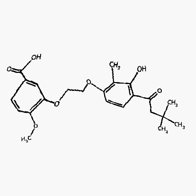 COc1ccc(C(=O)O)cc1OCCOc1ccc(C(=O)CC(C)(C)C)c(O)c1C